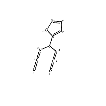 O=C=NC(N=C=O)c1ccco1